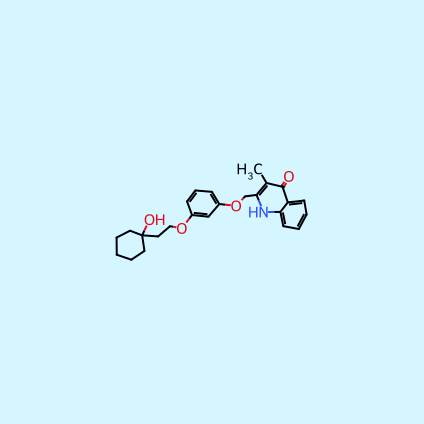 Cc1c(COc2cccc(OCCC3(O)CCCCC3)c2)[nH]c2ccccc2c1=O